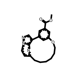 COC(=O)c1cc2cc(c1)-c1cnn3ccc(nc13)CCCCCCO2